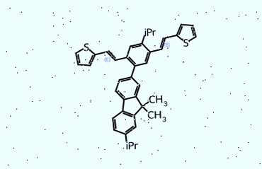 CC(C)c1ccc2c(c1)C(C)(C)c1cc(-c3cc(/C=C/c4cccs4)c(C(C)C)cc3/C=C/c3cccs3)ccc1-2